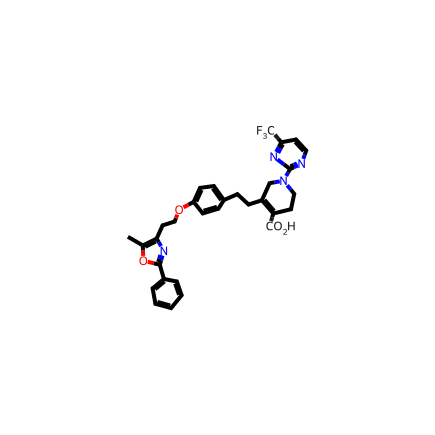 Cc1oc(-c2ccccc2)nc1CCOc1ccc(CCC2=C(C(=O)O)CCN(c3nccc(C(F)(F)F)n3)C2)cc1